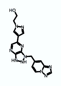 OCCn1cc(-c2cnc3c(n2)N(Cc2ccn4ncnc4c2)NN3)cn1